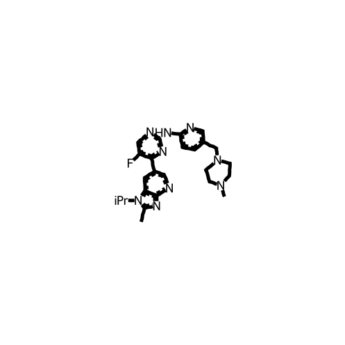 Cc1nc2ncc(-c3nc(Nc4ccc(CN5CCN(C)CC5)cn4)ncc3F)cc2n1C(C)C